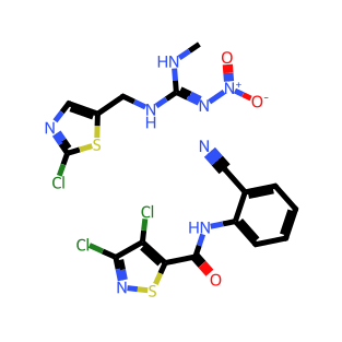 CN/C(=N\[N+](=O)[O-])NCc1cnc(Cl)s1.N#Cc1ccccc1NC(=O)c1snc(Cl)c1Cl